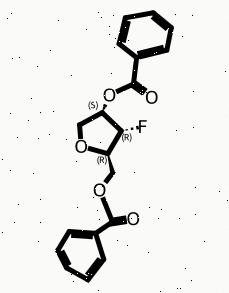 O=C(OC[C@H]1OC[C@H](OC(=O)c2ccccc2)[C@@H]1F)c1ccccc1